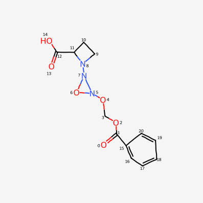 O=C(OCOn1on1N1CCC1C(=O)O)c1ccccc1